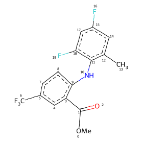 COC(=O)c1cc(C(F)(F)F)ccc1Nc1c(C)cc(F)cc1F